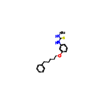 CCCCNC(=S)Nc1cccc(OCCCCCc2ccccc2)c1